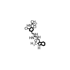 CC(=O)Nc1c(Cl)cc(CNC(=N)NC(=O)Cc2c(C)[nH]c3ccccc23)cc1Cl